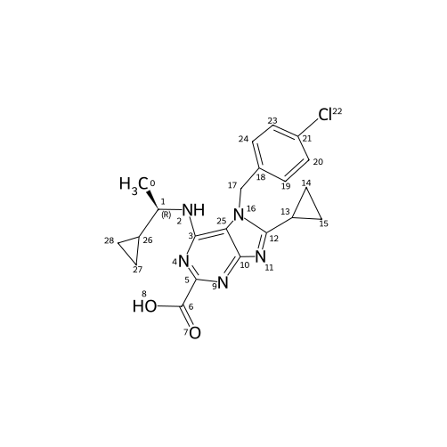 C[C@@H](Nc1nc(C(=O)O)nc2nc(C3CC3)n(Cc3ccc(Cl)cc3)c12)C1CC1